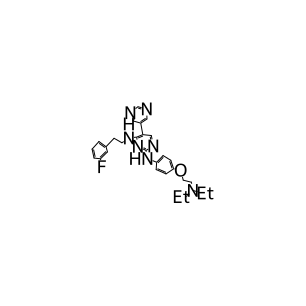 CCN(CC)CCOc1ccc(Nc2ncc(-c3cncnc3)c(NCCc3cccc(F)c3)n2)cc1